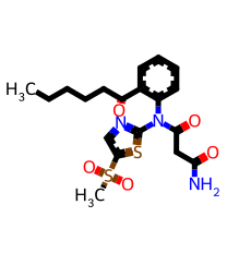 CCCCCC(=O)c1ccccc1N(C(=O)CC(N)=O)c1ncc(S(C)(=O)=O)s1